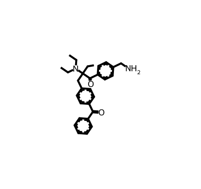 CCN(CC)C(CC)(Cc1ccc(C(=O)c2ccccc2)cc1)C(=O)c1ccc(CN)cc1